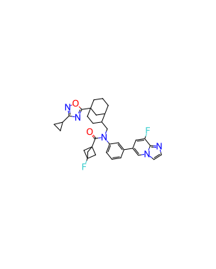 O=C(N(CC1CCC2(c3nc(C4CC4)no3)CCCC1C2)c1cccc(-c2cc(F)c3nccn3c2)c1)C12CC(F)(C1)C2